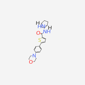 O=C(N[C@@H]1C[C@H]2CC[C@@H]1N2)c1ccc(-c2ccc(N3CCOCC3)cc2)s1